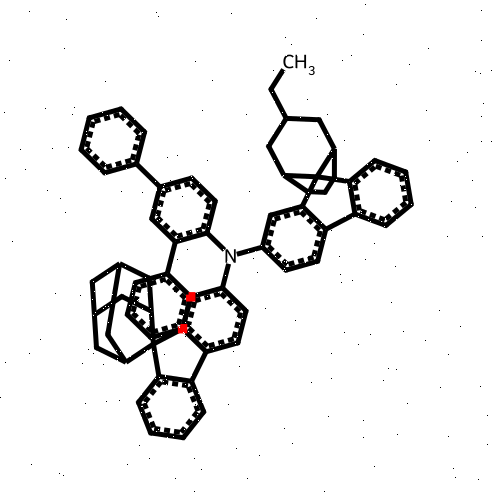 CCC1CC2CCCC(C1)C21c2ccccc2-c2ccc(N(c3ccc4c(c3)C3(c5ccccc5-4)C4CC5CC(C4)CC3C5)c3ccc(-c4ccccc4)cc3-c3ccccc3)cc21